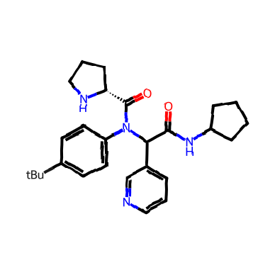 CC(C)(C)c1ccc(N(C(=O)[C@H]2CCCN2)C(C(=O)NC2CCCC2)c2cccnc2)cc1